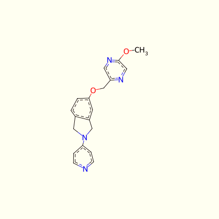 COc1cnc(COc2ccc3c(c2)CN(c2ccncc2)C3)cn1